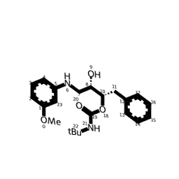 COc1cccc(NC[C@H](O)[C@H](Cc2ccccc2)OC(=O)NC(C)(C)C)c1